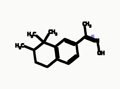 C/C(=N/O)c1ccc2c(c1)C(C)(C)C(C)CC2